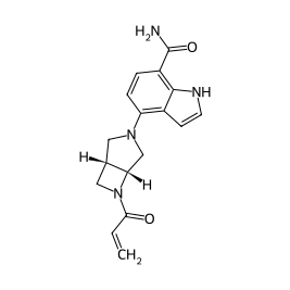 C=CC(=O)N1C[C@@H]2CN(c3ccc(C(N)=O)c4[nH]ccc34)C[C@@H]21